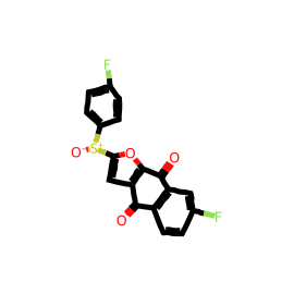 O=C1c2ccc(F)cc2C(=O)c2oc([S+]([O-])c3ccc(F)cc3)cc21